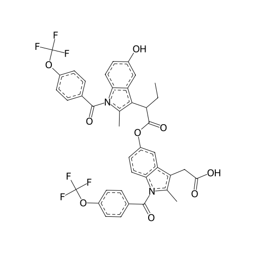 CCC(C(=O)Oc1ccc2c(c1)c(CC(=O)O)c(C)n2C(=O)c1ccc(OC(F)(F)F)cc1)c1c(C)n(C(=O)c2ccc(OC(F)(F)F)cc2)c2ccc(O)cc12